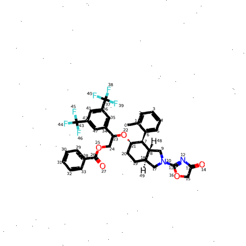 Cc1ccccc1[C@H]1[C@@H]2CN(C3=NC(=O)CO3)C[C@H]2CC[C@@H]1OC(COC(=O)c1ccccc1)c1cc(C(F)(F)F)cc(C(F)(F)F)c1